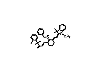 C=C(/C=C/C1=C(SCc2ccccc2)C(=C/C=C2/N(CCC)c3ccccc3C2(C)C)/CCC1)C(C)(C)c1ccccc1C